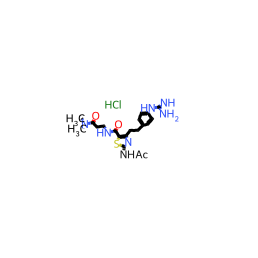 CC(=O)Nc1nc(CCc2ccc(NC(=N)N)cc2)c(C(=O)NCCC(=O)N(C)C)s1.Cl